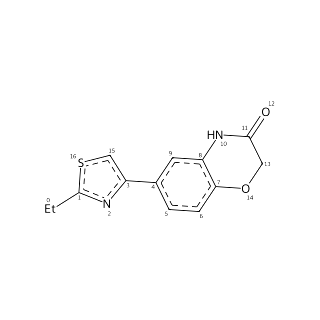 CCc1nc(-c2ccc3c(c2)NC(=O)CO3)cs1